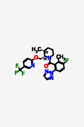 Cc1c(F)ccc(-n2nccn2)c1C(=O)N1CCC[C@@H](C)[C@H]1COc1ccc(C(F)(F)F)cn1